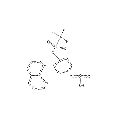 CS(=O)(=O)O.O=S(=O)(Oc1ccccc1-c1cccc2cccnc12)C(F)(F)F